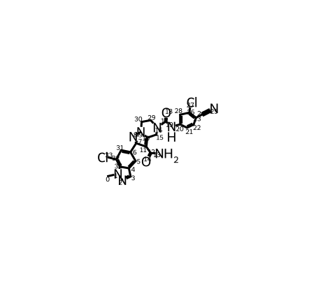 Cn1ncc2cc(-c3nn4c(c3C(N)=O)CN(C(=O)Nc3ccc(C#N)c(Cl)c3)CC4)cc(Cl)c21